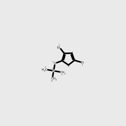 CCC1=CC(CC)=C(O[Si](C)(C)C)C1